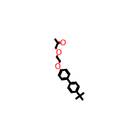 CC(=O)COCCOc1ccc(-c2ccc(C(C)(C)C)cc2)cc1